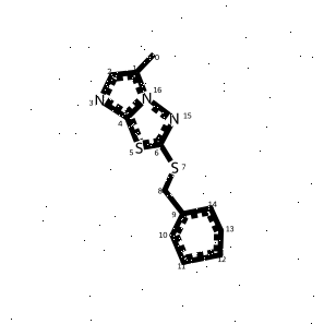 Cc1cnc2sc(SCc3ccccc3)nn12